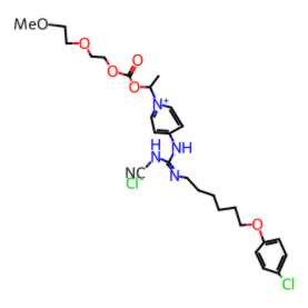 COCCOCCOC(=O)OC(C)[n+]1ccc(N/C(=N\CCCCCCOc2ccc(Cl)cc2)NC#N)cc1.[Cl-]